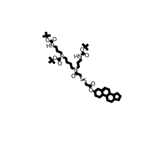 CC(C)(C)OC(=O)NCCCN(CCCCN(CCCNC(=O)OC(C)(C)C)C(=O)OC(C)(C)C)C(=O)CSSCC(=O)OC1CCC2C(=CCC3C4CCCC4CCC23)C1